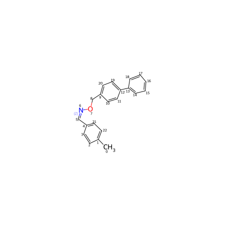 Cc1ccc(/[C]=N\OCc2ccc(-c3ccccc3)cc2)cc1